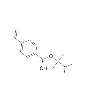 C=Cc1ccc(C(O)OC(C)(C)C(C)C)cc1